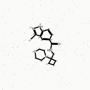 O=C(NCC1(N2CCOCC2)CCC1)c1ccc2[nH]nc(I)c2c1